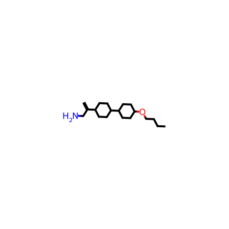 C=C(CN)C1CCC(C2CCC(OCCCC)CC2)CC1